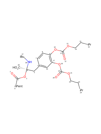 CCCCCC(=O)O[C@](Cc1ccc(OC(=O)OCCC(C)C)c(OC(=O)OCCC(C)C)c1)(NC(C)CC)C(=O)O